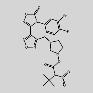 CC(C)(C)N(C(=O)ON1CC[C@H](Sc2nonc2-c2noc(=O)n2-c2ccc(F)c(Br)c2)C1)[SH](=O)=O